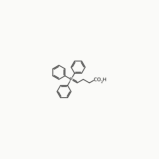 O=C(O)CCC=P(c1ccccc1)(c1ccccc1)c1ccccc1